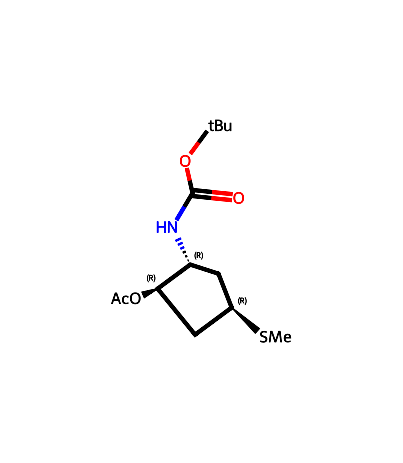 CS[C@@H]1C[C@@H](NC(=O)OC(C)(C)C)[C@H](OC(C)=O)C1